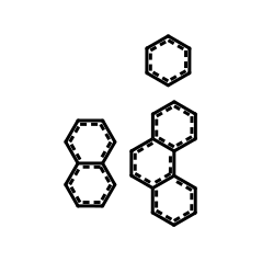 c1ccc2c(c1)ccc1ccccc12.c1ccc2ccccc2c1.c1ccccc1